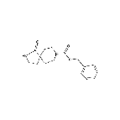 O=C(OCc1ccccc1)N1CCC2(CCNC2=O)CC1